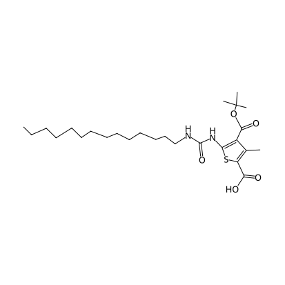 CCCCCCCCCCCCCCNC(=O)Nc1sc(C(=O)O)c(C)c1C(=O)OC(C)(C)C